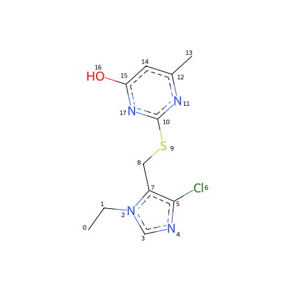 CCn1cnc(Cl)c1CSc1nc(C)cc(O)n1